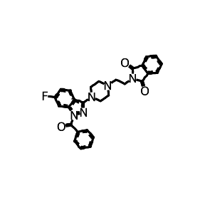 O=C1c2ccccc2C(=O)N1CCN1CCN(c2nn(C(=O)c3ccccc3)c3cc(F)ccc23)CC1